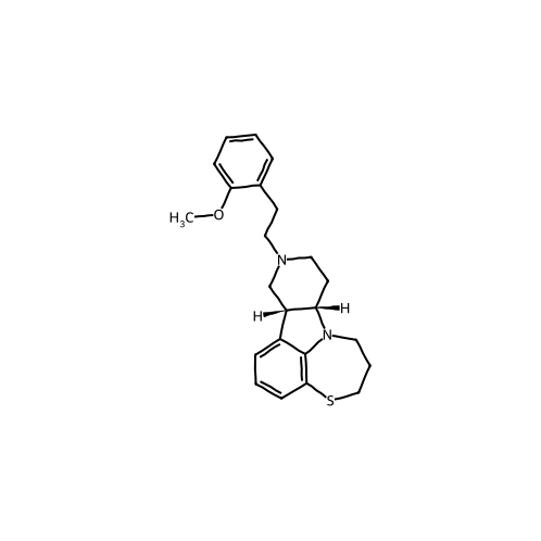 COc1ccccc1CCN1CC[C@H]2[C@@H](C1)c1cccc3c1N2CCCS3